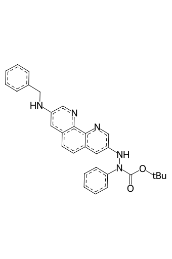 CC(C)(C)OC(=O)N(Nc1cnc2c(ccc3cc(NCc4ccccc4)cnc32)c1)c1ccccc1